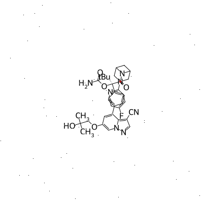 CC(C)(O)COc1cc(-c2ccc(N3CC4CC(C3)N4C(=O)[C@](OC(N)=O)(c3ccc(F)cc3)C(C)(C)C)nc2)c2c(C#N)cnn2c1